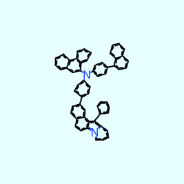 c1ccc(-c2c3c4cc(-c5ccc(N(c6ccc(-c7cccc8ccccc78)cc6)c6cc7ccccc7c7ccccc67)cc5)ccc4ccc3n3ccccc23)cc1